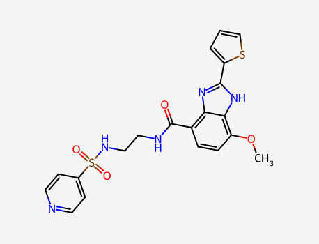 COc1ccc(C(=O)NCCNS(=O)(=O)c2ccncc2)c2nc(-c3cccs3)[nH]c12